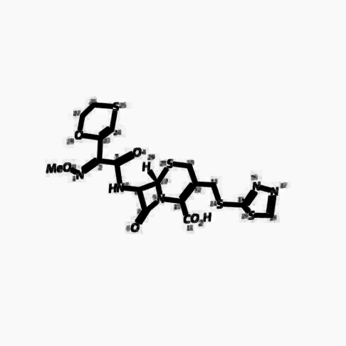 CON=C(C(=O)NC1C(=O)N2C(C(=O)O)=C(CSc3nncs3)CS[C@@H]12)C1=CSCCO1